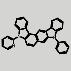 c1ccc(-n2c3ccccc3c3cc4c(ccc5c4c4ccccc4n5-c4ccccn4)cc32)cc1